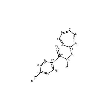 CC(CN1C=CC=CC=C1)C(=O)c1ccc(F)cc1